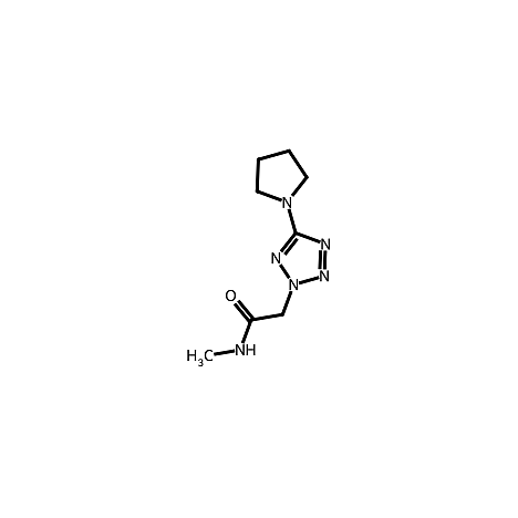 CNC(=O)Cn1nnc(N2CCCC2)n1